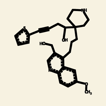 COc1ccc2ncc(CO)c(CCCC3(C(O)CC#Cc4cccs4)CCNCC3)c2c1